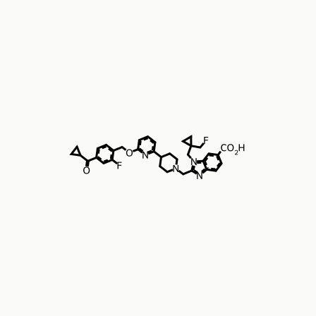 O=C(O)c1ccc2nc(CN3CCC(c4cccc(OCc5ccc(C(=O)C6CC6)cc5F)n4)CC3)n(CC3(CF)CC3)c2c1